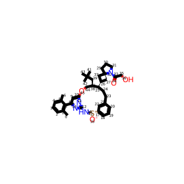 Cc1cccc(C)c1-c1cc2nc(n1)N[S+]([O-])c1cccc(c1)CCC([C@H]1C[C@@]3(CCCN3C(=O)CO)C1)[C@H](CC(C)(C)C)CO2